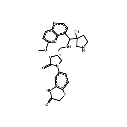 COc1ccc2nccc(C(NC[C@@H]3CN(c4ccc5c(c4)NC(=O)CS5)C(=O)O3)C3(O)CCNC3)c2n1